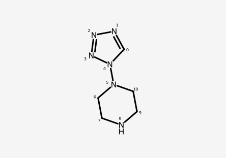 [c]1nnnn1N1CCNCC1